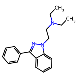 CCN(CC)CCn1nc(-c2ccccc2)c2ccccc21